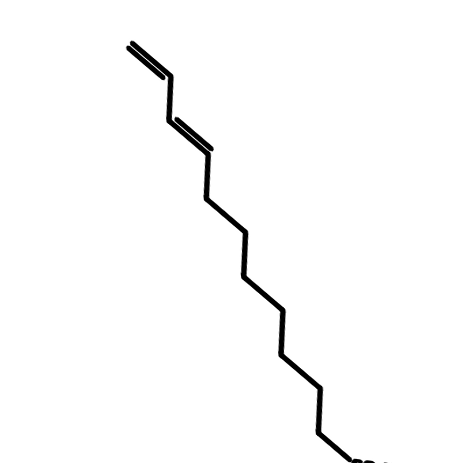 C=CC=CCCCCCCCC(=O)O